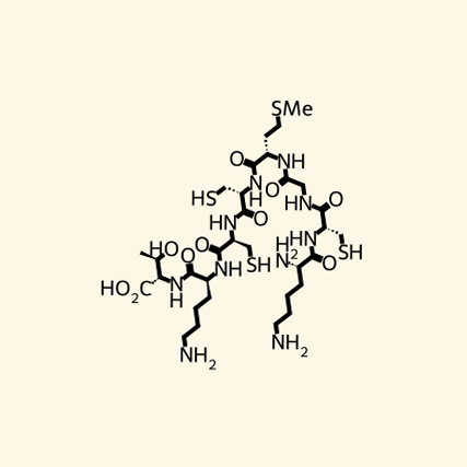 CSCC[C@H](NC(=O)CNC(=O)[C@H](CS)NC(=O)[C@@H](N)CCCCN)C(=O)N[C@@H](CS)C(=O)N[C@@H](CS)C(=O)N[C@@H](CCCCN)C(=O)N[C@H](C(=O)O)[C@@H](C)O